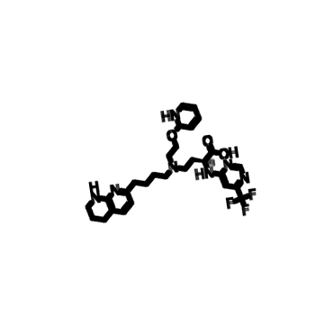 O=C(O)[C@H](CCN(CCCCc1ccc2c(n1)NCCC2)CCOC1C=CC=CN1)Nc1cc(C(F)(F)F)ncn1